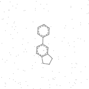 [CH]1CCc2cc(-c3ccccc3)ccc21